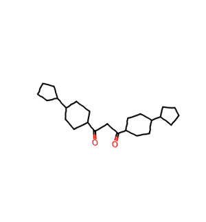 O=C(CC(=O)C1CCC(C2CCCC2)CC1)C1CCC(C2CCCC2)CC1